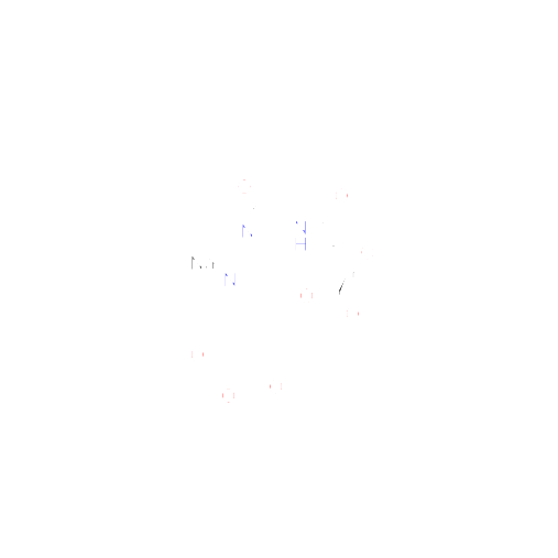 COc1ccc(CN2CCN(C(=O)[C@H](CC(C)C)NC(=O)[C@@H]3O[C@H]3C(=O)[O-])CC2)c(OC)c1OC.[Na+]